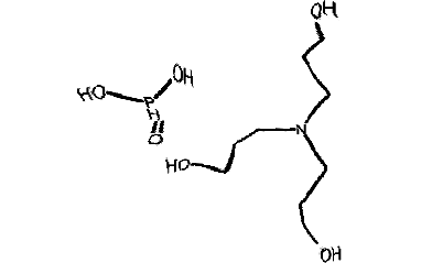 O=[PH](O)O.OCCN(CCO)CCO